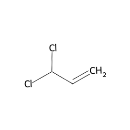 C=CC(Cl)Cl